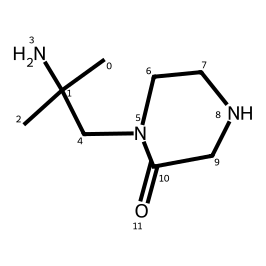 CC(C)(N)CN1CCNCC1=O